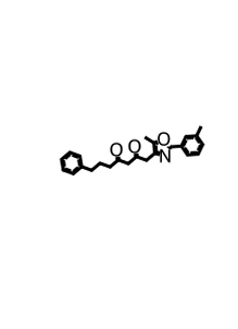 Cc1cccc(-c2nc(CC(=O)CC(=O)CCCc3ccccc3)c(C)o2)c1